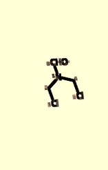 O=[C]N(CCl)CCl